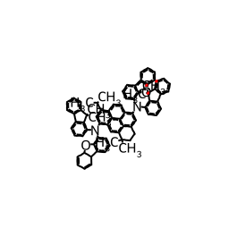 CC(C)c1cc(N(c2cccc3c2OC2C=CC=CC32)c2cccc3c2C(C)(C)c2ccccc2-3)c2cc3c4c(cc(N(c5cccc6c5C(C)(C)c5ccccc5-6)c5cccc6c5oc5ccccc56)c5ccc1c2c54)CCC3(C)C